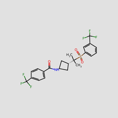 CC(C)([C@H]1C[C@@H](NC(=O)c2ccc(C(F)(F)F)cc2)C1)S(=O)(=O)c1cccc(C(F)(F)F)c1